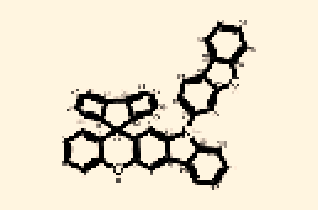 c1ccc2c(c1)Oc1cc3c4ccccc4n(-c4ccc5c(c4)oc4ccccc45)c3cc1C21c2ccccc2-c2ccccc21